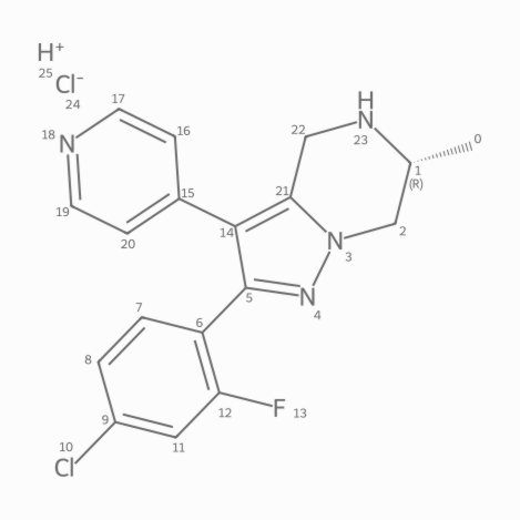 C[C@@H]1Cn2nc(-c3ccc(Cl)cc3F)c(-c3ccncc3)c2CN1.[Cl-].[H+]